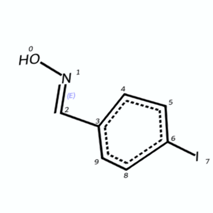 O/N=C/c1ccc(I)cc1